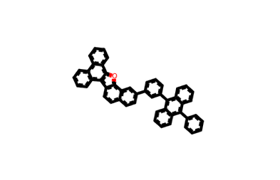 c1ccc(-c2c3ccccc3c(-c3cccc(-c4ccc5ccc6c(oc7c8ccccc8c8ccccc8c67)c5c4)c3)c3ccccc23)cc1